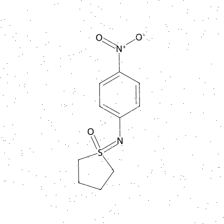 O=[N+]([O-])c1ccc(N=S2(=O)CCCC2)cc1